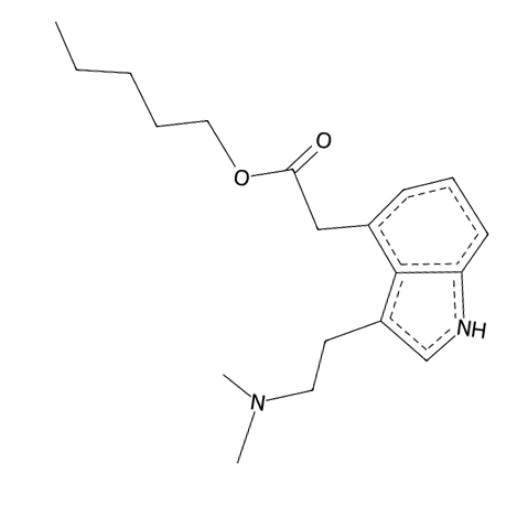 CCCCCOC(=O)Cc1cccc2[nH]cc(CCN(C)C)c12